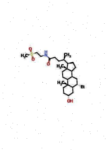 CC[C@H]1CC2C(CC[C@@]3(C)C2CC[C@@H]3[C@H](C)CCC(=O)NCCS(C)(=O)=O)[C@@]2(C)CC[C@@H](O)CC12